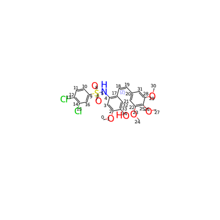 COc1cc(NS(=O)(=O)c2ccc(Cl)c(Cl)c2)c(/C=C\c2cc(OC)c(OC)c(OC)c2)cc1O